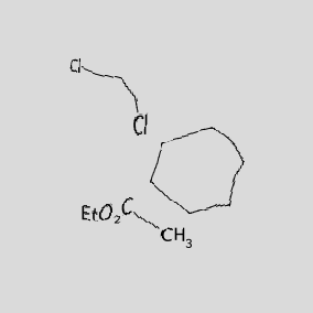 C1CCCCC1.CCOC(C)=O.ClCCl